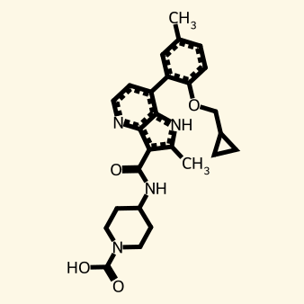 Cc1ccc(OCC2CC2)c(-c2ccnc3c(C(=O)NC4CCN(C(=O)O)CC4)c(C)[nH]c23)c1